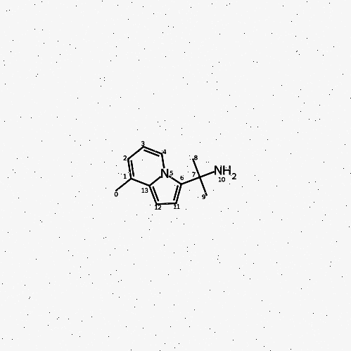 Cc1cccn2c(C(C)(C)N)ccc12